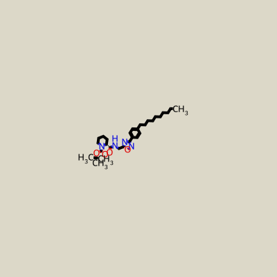 CCCCCCCCCCc1ccc(-c2noc(CNC(=O)[C@H]3CCCCN3C(=O)OC(C)(C)C)n2)cc1